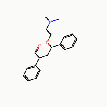 CN(C)CCOC(CC(C=O)c1ccccc1)c1ccccc1